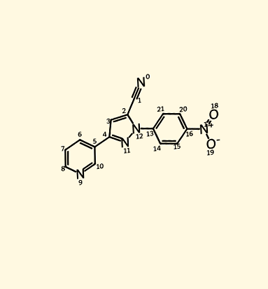 N#Cc1cc(-c2cccnc2)nn1-c1ccc([N+](=O)[O-])cc1